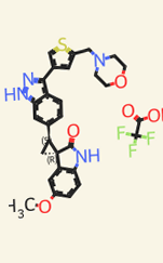 COc1ccc2c(c1)[C@]1(C[C@H]1c1ccc3c(-c4csc(CN5CCOCC5)c4)n[nH]c3c1)C(=O)N2.O=C(O)C(F)(F)F